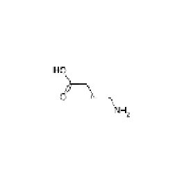 NC[C]CC(=O)O